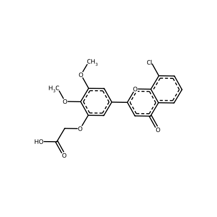 COc1cc(-c2cc(=O)c3cccc(Cl)c3o2)cc(OCC(=O)O)c1OC